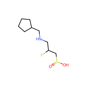 O=S(O)CC(F)CNCC1CCCC1